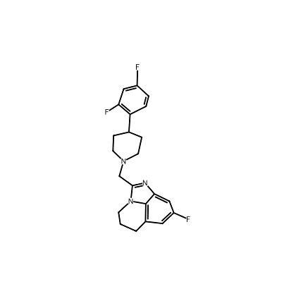 Fc1ccc(C2CCN(Cc3nc4cc(F)cc5c4n3CCC5)CC2)c(F)c1